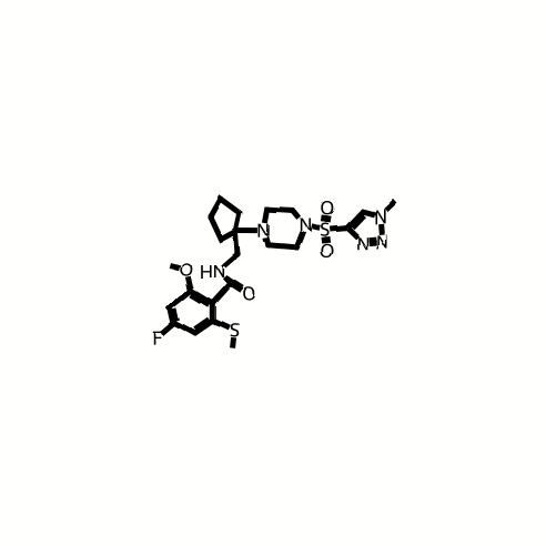 COc1cc(F)cc(SC)c1C(=O)NCC1(N2CCN(S(=O)(=O)c3cn(C)nn3)CC2)CCCC1